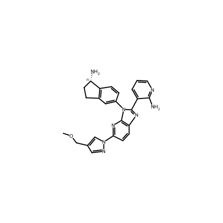 COCc1cnn(-c2ccc3nc(-c4cccnc4N)n(-c4ccc5c(c4)CC[C@@H]5N)c3n2)c1